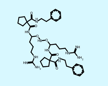 N=C(N)NCCCC(NC(=O)C1(C(=O)NCCc2ccccc2)CCCC1)OBOC(CCCNC(=N)N)NC(=O)C1(C(=O)NCCc2ccccc2)CCCC1